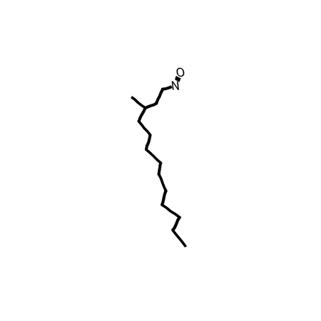 CCCCCCCCCCC(C)CCN=O